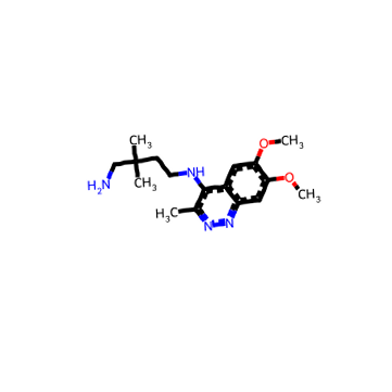 COc1cc2nnc(C)c(NCCC(C)(C)CN)c2cc1OC